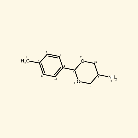 Cc1ccc(C2OCC(N)CO2)cc1